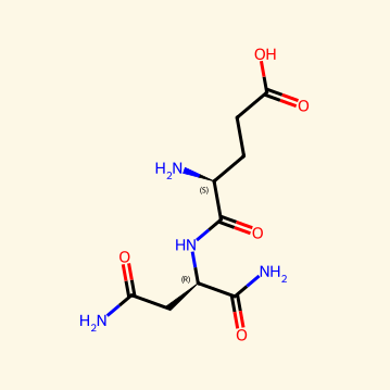 NC(=O)C[C@@H](NC(=O)[C@@H](N)CCC(=O)O)C(N)=O